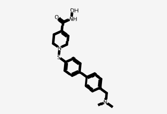 CN(C)Cc1ccc(-c2ccc(SN3CC=C(C(=O)NO)CC3)cc2)cc1